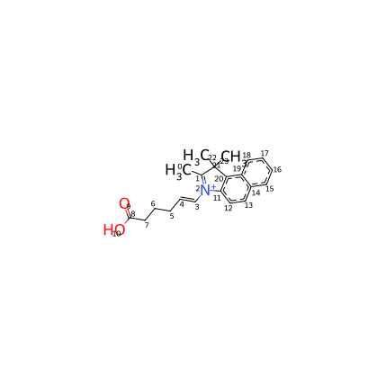 CC1=[N+](C=CCCCC(=O)O)c2ccc3ccccc3c2C1(C)C